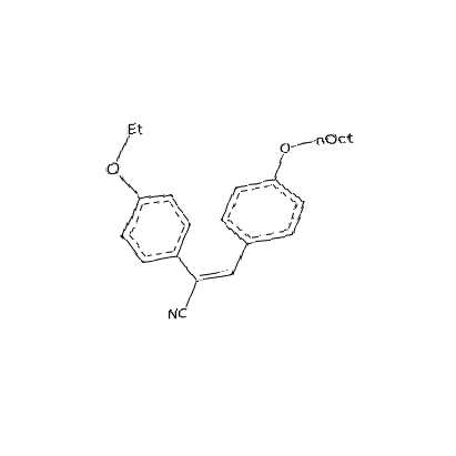 CCCCCCCCOc1ccc(C=C(C#N)c2ccc(OCC)cc2)cc1